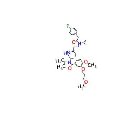 COCCCOc1cc(C(=O)N(C(C)C)C2CC[C@H](CCN(C(=O)Cc3ccc(F)cc3)C3CC3)NC2)ccc1OC